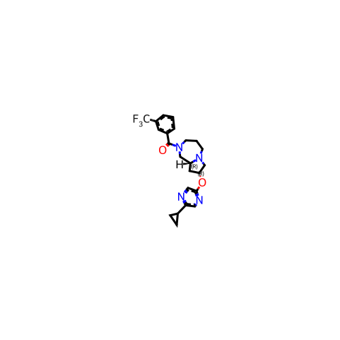 O=C(c1cccc(C(F)(F)F)c1)N1CCCN2C[C@H](Oc3cnc(C4CC4)cn3)C[C@@H]2C1